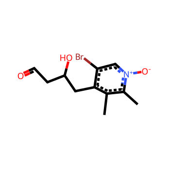 Cc1c(CC(O)CC=O)c(Br)c[n+]([O-])c1C